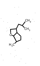 CC(C)CC1COC2C(C)CCC12